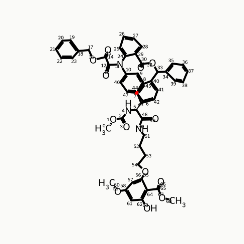 COC(=O)N[C@@H](Cc1ccc(N(C(=O)C(=O)OCc2ccccc2)c2ccccc2C(=O)OC(c2ccccc2)c2ccccc2)cc1)C(=O)NCCCCOc1cc(OC)cc(O)c1C(=O)OC